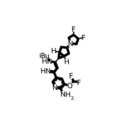 CCC(C)N/C(=C\C(=N)c1cnc(N)c(OC(F)F)c1)[C@H]1[C@@H]2CC(N3C[C@@H](F)[C@@H](F)C3)C[C@@H]21